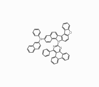 c1ccc(-c2nc(-n3c4ccc5oc6ccccc6c5c4c4ccc5cc(N(c6ccccc6)c6ccc7ccccc7c6)ccc5c43)nc3c4ccccc4c4ccccc4c23)cc1